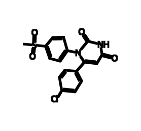 CS(=O)(=O)c1ccc(-n2c(-c3ccc(Cl)cc3)cc(=O)[nH]c2=O)cc1